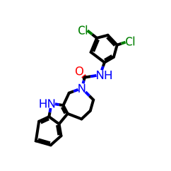 O=C(Nc1cc(Cl)cc(Cl)c1)N1CCCc2c([nH]c3ccccc23)C1